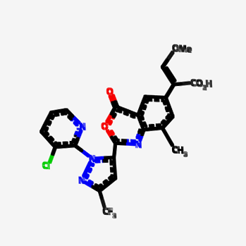 COC=C(C(=O)O)c1cc(C)c2nc(-c3cc(C(F)(F)F)nn3-c3ncccc3Cl)oc(=O)c2c1